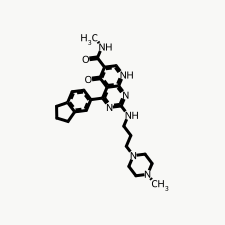 CNC(=O)c1c[nH]c2nc(NCCCN3CCN(C)CC3)nc(-c3ccc4c(c3)CCC4)c2c1=O